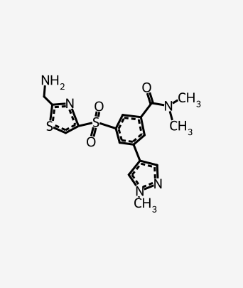 CN(C)C(=O)c1cc(-c2cnn(C)c2)cc(S(=O)(=O)c2csc(CN)n2)c1